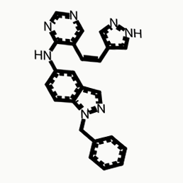 C(=Cc1cncnc1Nc1ccc2c(cnn2Cc2ccccc2)c1)c1cn[nH]c1